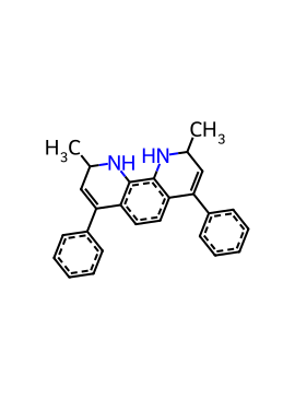 CC1C=C(c2ccccc2)c2ccc3c(c2N1)NC(C)C=C3c1ccccc1